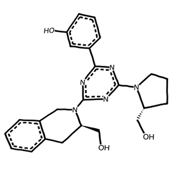 OC[C@H]1CCCN1c1nc(-c2cccc(O)c2)nc(N2Cc3ccccc3C[C@@H]2CO)n1